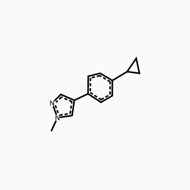 Cn1cc(-c2ccc(C3CC3)cc2)cn1